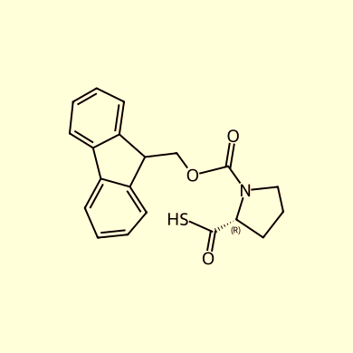 O=C(S)[C@H]1CCCN1C(=O)OCC1c2ccccc2-c2ccccc21